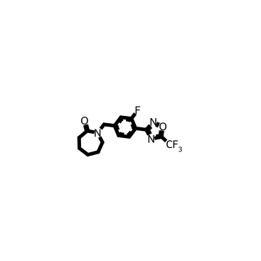 O=C1CCCCCN1Cc1ccc(-c2noc(C(F)(F)F)n2)c(F)c1